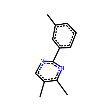 Cc1cccc(-c2ncc(C)c(C)n2)c1